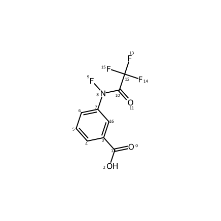 O=C(O)c1cccc(N(F)C(=O)C(F)(F)F)c1